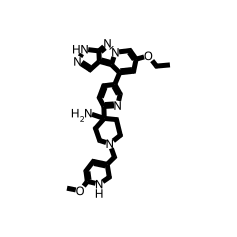 CCOc1cc(-c2ccc(C3(N)CCN(CC4=CC=C(OC)NC4)CC3)nc2)c2c3cn[nH]c3nn2c1